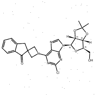 CC1(C)O[C@@H]2[C@H](O1)[C@@H](CO)O[C@H]2n1cnc2c(N3CC4(Cc5ccccc5C4=O)C3)nc(Cl)nc21